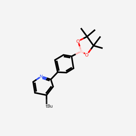 CC(C)(C)c1ccnc(-c2ccc(B3OC(C)(C)C(C)(C)O3)cc2)c1